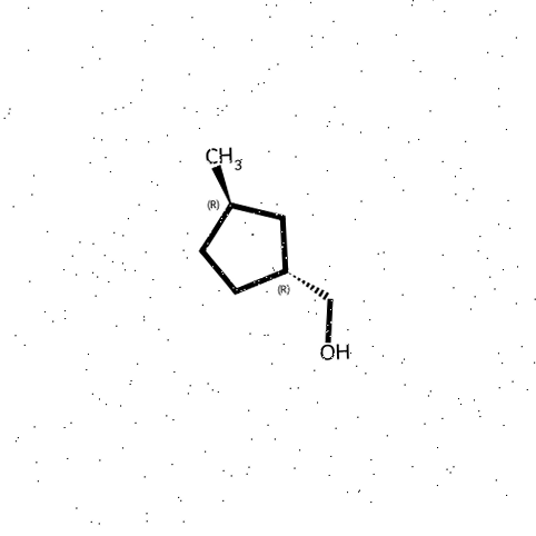 C[C@@H]1CC[C@@H](CO)C1